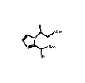 CCCCCCCCCCCC(C)n1ccnc1C(CCC)CCCCCCCCC